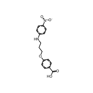 O=C(O)c1ccc(OCCCNc2ccc([N+](=O)[O-])cc2)cc1